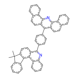 CC1(C)c2ccccc2-c2c1ccc1c(-c3ccc(-c4c5ccc6ccccc6c5nc5c4ccc4ccccc45)cc3)nc3ccccc3c21